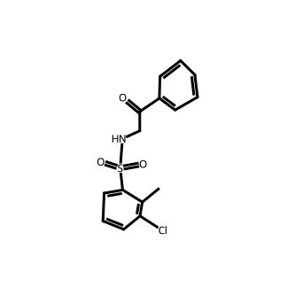 Cc1c(Cl)cccc1S(=O)(=O)NCC(=O)c1ccccc1